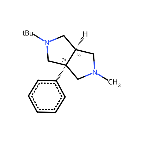 CN1C[C@@H]2CN(C(C)(C)C)C[C@]2(c2ccccc2)C1